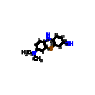 CN(C)c1ccc2c(c1)SC1=C(C=CC(=N)C1)N2